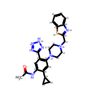 CC(=O)Nc1cc(-c2nn[nH]n2)c(N2CCN(Cc3nc4ccccc4s3)CC2)cc1C1CC1